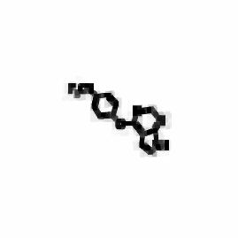 FC(F)(F)Nc1ccc(Oc2ncnc3[nH]ccc23)cc1